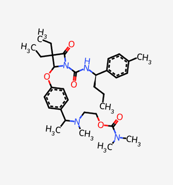 CCC[C@@H](NC(=O)N1C(=O)C(CC)(CC)C1Oc1ccc(C(C)N(C)CCOC(=O)N(C)C)cc1)c1ccc(C)cc1